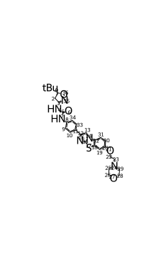 CC(C)(C)C1CC(NC(=O)Nc2ccc(-c3cn4c(n3)sc3cc(OCCN5CCOCC5)ccc34)cc2)=NO1